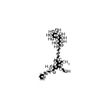 CC(C)CC(CC(CC(C(=O)OCCSSc1ccccn1)C(C)C)C(=O)OCCO)C(=O)OCCSSCCNC(=O)[C@H](O)[C@@H](O)C(O[C@@H]1O[C@H](CO)[C@H](O)[C@H](O)[C@H]1O)[C@H](O)CO